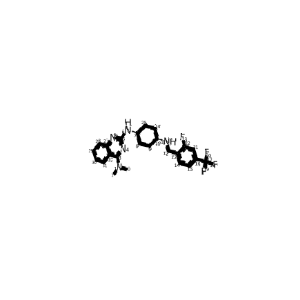 CN(C)c1nc(N[C@H]2CC[C@@H](NCc3ccc(C(F)(F)F)cc3F)CC2)nc2ccccc12